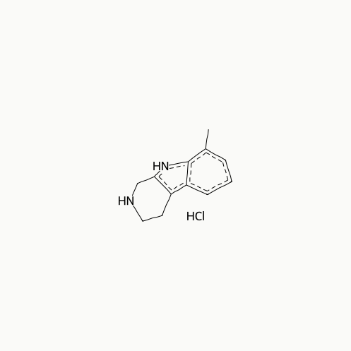 Cc1cccc2c3c([nH]c12)CNCC3.Cl